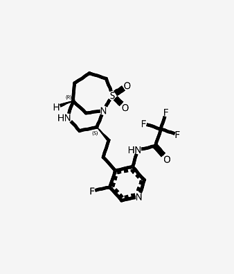 O=C(Nc1cncc(F)c1CC[C@H]1CN[C@@H]2CCCS(=O)(=O)N1C2)C(F)(F)F